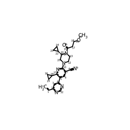 C=Cc1cc(-c2cc(C#N)c(N3CCN(C(=O)CCOC)[C@H](C4CC4)C3)nc2C2CC2)ncn1